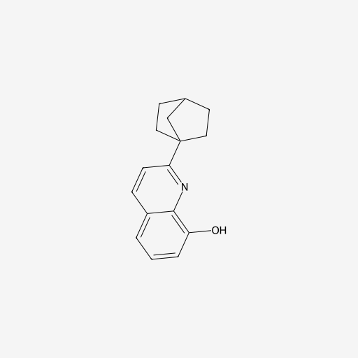 Oc1cccc2ccc(C34CCC(CC3)C4)nc12